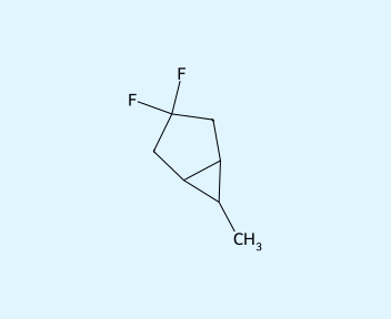 CC1C2CC(F)(F)CC12